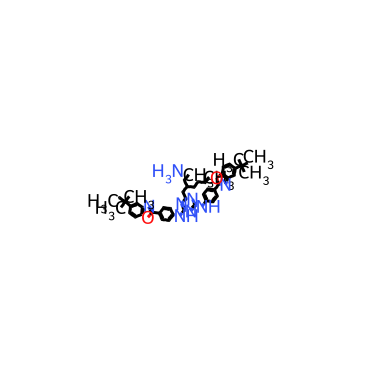 CCCCC(CC)Cc1nc(Nc2ccc(-c3nc4cc(C(C)(C)CC)ccc4o3)cc2)nc(Nc2ccc(-c3nc4cc(C(C)(C)CC)ccc4o3)cc2)n1.N